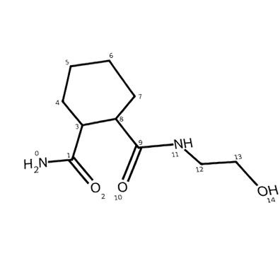 NC(=O)C1CCCCC1C(=O)NCCO